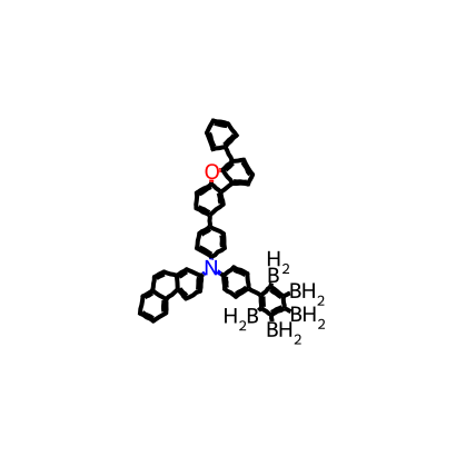 Bc1c(B)c(B)c(-c2ccc(N(c3ccc(-c4ccc5oc6c(-c7ccccc7)cccc6c5c4)cc3)c3ccc4c(ccc5ccccc54)c3)cc2)c(B)c1B